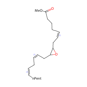 CCCCC/C=C\C/C=C\CC1OC1C/C=C\CCCC(=O)OC